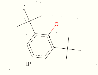 CC(C)(C)c1cccc(C(C)(C)C)c1[O-].[Li+]